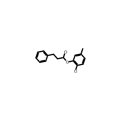 Cc1ccc(Cl)c(OC(Cl)CCc2ccccc2)c1